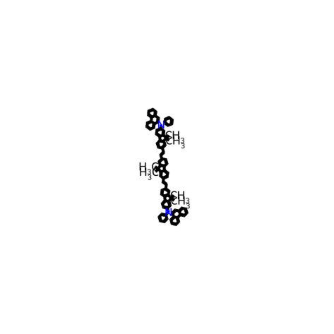 CC1(C)c2cc(/C=C/c3ccc4c(c3)C(C)(C)c3cc(N(c5ccccc5)c5cc6ccccc6c6ccccc56)ccc3-4)ccc2-c2ccc(/C=C/c3ccc4c(c3)C(C)(C)c3cc(N(c5ccccc5)c5cc6ccccc6c6ccccc56)ccc3-4)cc21